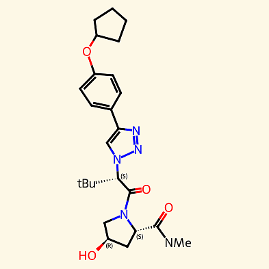 CNC(=O)[C@@H]1C[C@@H](O)CN1C(=O)[C@@H](n1cc(-c2ccc(OC3CCCC3)cc2)nn1)C(C)(C)C